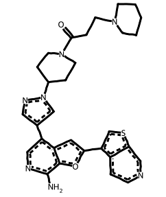 Nc1ncc(-c2cnn(C3CCN(C(=O)CCN4CCCCC4)CC3)c2)c2cc(-c3csc4cnccc34)oc12